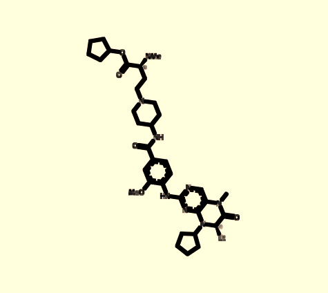 CC[C@@H]1C(=O)N(C)c2cnc(Nc3ccc(C(=O)NC4CCN(CC[C@H](NC)C(=O)OC5CCCC5)CC4)cc3OC)nc2N1C1CCCC1